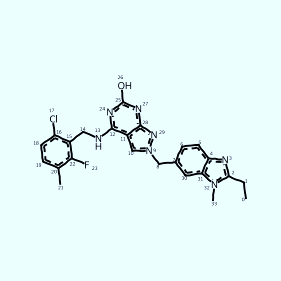 CCc1nc2ccc(Cn3cc4c(NCc5c(Cl)ccc(C)c5F)nc(O)nc4n3)cc2n1C